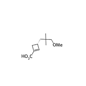 COCC(C)(C)C[C@@H]1C=C(C(=O)O)C1